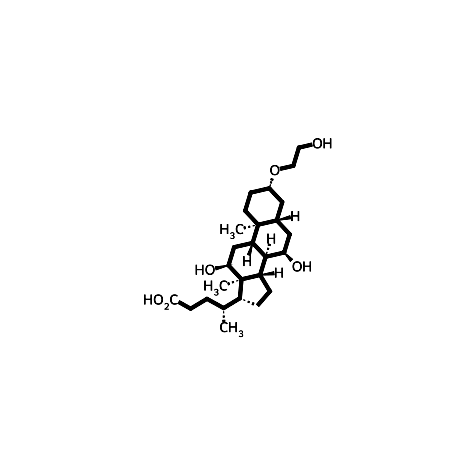 C[C@H](CCC(=O)O)[C@H]1CC[C@H]2[C@@H]3[C@H](O)C[C@H]4C[C@@H](OCCO)CC[C@]4(C)[C@H]3C[C@H](O)[C@]12C